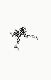 CCCCCCOc1ccc(/C(=C/C2(/C=C(/c3ccc(OCCCCCC)cc3)c3ccc(N(C)C)cc3)OC(=O)c3c(Br)c(Br)c(Br)c(Br)c32)c2ccc(N(C)C)cc2)cc1